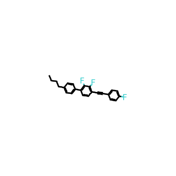 CCCCc1ccc(-c2ccc(C#Cc3ccc(F)cc3)c(F)c2F)cc1